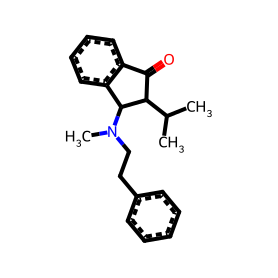 CC(C)C1C(=O)c2ccccc2C1N(C)CCc1ccccc1